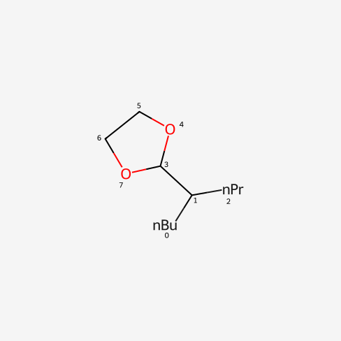 CC[CH]CC(CCC)C1OCCO1